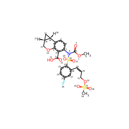 COC(=O)N(c1ccc2c(c1C(=O)O)OC[C@@H]1C[C@H]21)S(=O)(=O)c1ccc(F)cc1/C=C\COS(C)(=O)=O